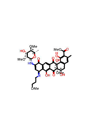 COCCCN=C1C=C(N[C@H]2O[C@@H](C)[C@H](OC)[C@@H](O)[C@H]2OC)C(=O)c2cc3c(c(O)c21)C(=O)[C@]1(OC)[C@H](O)Cc2cc(C)c(C(=O)OC)c(O)c2[C@]1(O)C3=O